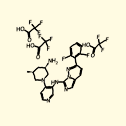 C[C@H]1C[C@@H](N)CN(c2ccncc2Nc2ncc3ccc(-c4c(F)cccc4F)nn23)C1.O=C(O)C(F)(F)F.O=C(O)C(F)(F)F.O=C(O)C(F)(F)F